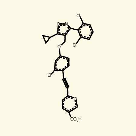 O=C(O)c1ccc(C#Cc2ccc(OCc3c(-c4c(Cl)cccc4Cl)noc3C3CC3)cc2Cl)nc1